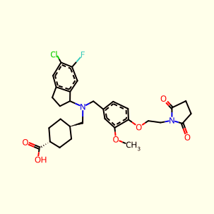 COc1cc(CN(C[C@H]2CC[C@H](C(=O)O)CC2)C2CCc3cc(Cl)c(F)cc32)ccc1OCCN1C(=O)CCC1=O